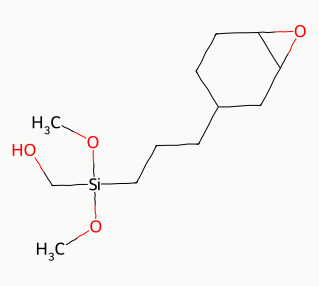 CO[Si](CO)(CCCC1CCC2OC2C1)OC